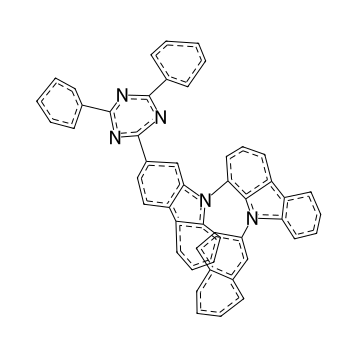 c1ccc(-c2nc(-c3ccccc3)nc(-c3ccc4c5ccccc5n(-c5cccc6c7ccccc7n(-c7ccc8ccccc8c7)c56)c4c3)n2)cc1